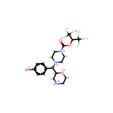 O=C(OC(C(F)(F)F)C(F)(F)F)N1CCN(C(c2ccc(Br)cc2)C2CNCCO2)CC1